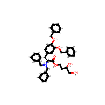 O=C(OCCC(O)CO)[C@H](Cc1ccc(OCc2ccccc2)c(OCc2ccccc2)c1)N(Cc1ccccc1)Cc1ccccc1